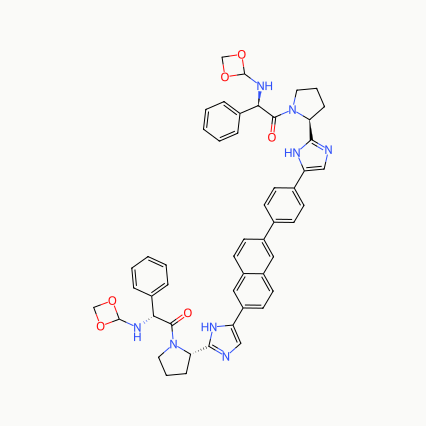 O=C([C@H](NC1OCO1)c1ccccc1)N1CCC[C@H]1c1ncc(-c2ccc(-c3ccc4cc(-c5cnc([C@@H]6CCCN6C(=O)[C@H](NC6OCO6)c6ccccc6)[nH]5)ccc4c3)cc2)[nH]1